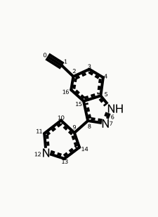 C#Cc1ccc2[nH]nc(-c3ccncc3)c2c1